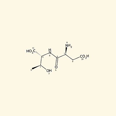 C[C@H](O)[C@@H](NC(=O)[C@@H](N)CC(=O)O)C(=O)O